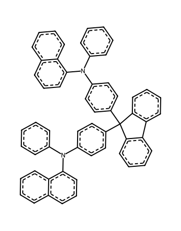 c1ccc(N(c2ccc(C3(c4ccc(N(c5ccccc5)c5cccc6ccccc56)cc4)c4ccccc4-c4ccccc43)cc2)c2cccc3ccccc23)cc1